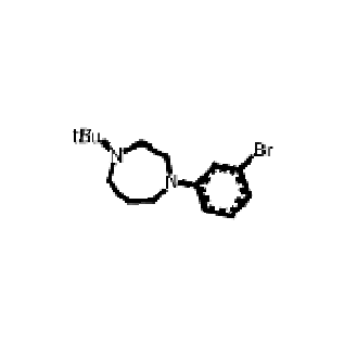 CC(C)(C)N1CCCN(c2cccc(Br)c2)CC1